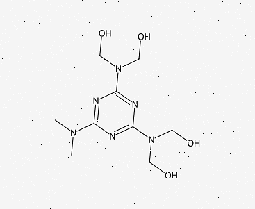 CN(C)c1nc(N(CO)CO)nc(N(CO)CO)n1